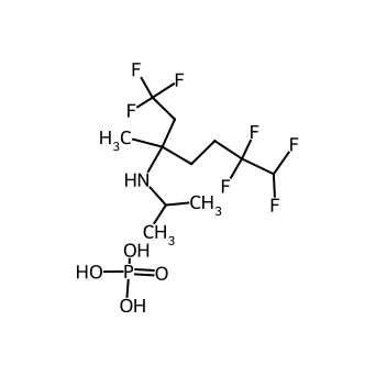 CC(C)NC(C)(CCC(F)(F)C(F)F)CC(F)(F)F.O=P(O)(O)O